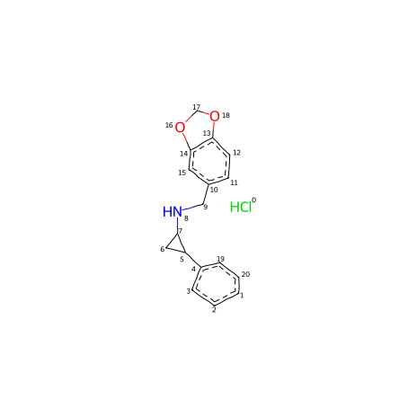 Cl.c1ccc(C2CC2NCc2ccc3c(c2)OCO3)cc1